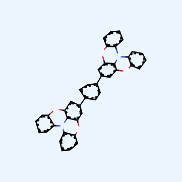 c1ccc2c(c1)Oc1cc(-c3ccc(-c4cc5c6c(c4)Oc4ccccc4N6c4ccccc4O5)cc3)cc3c1N2c1ccccc1O3